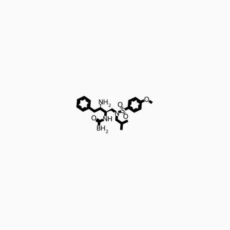 BC(=O)N[C@H](CN(CC(C)C)S(=O)(=O)c1ccc(OC)cc1)[C@@H](N)Cc1ccccc1